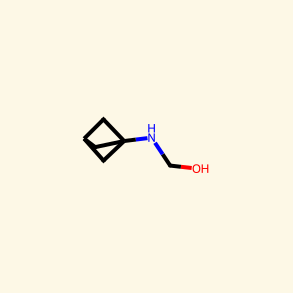 OCNC12CC(C1)C2